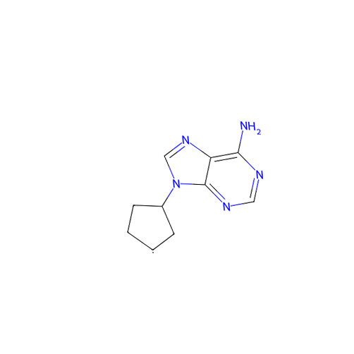 Nc1ncnc2c1ncn2C1C[CH]CC1